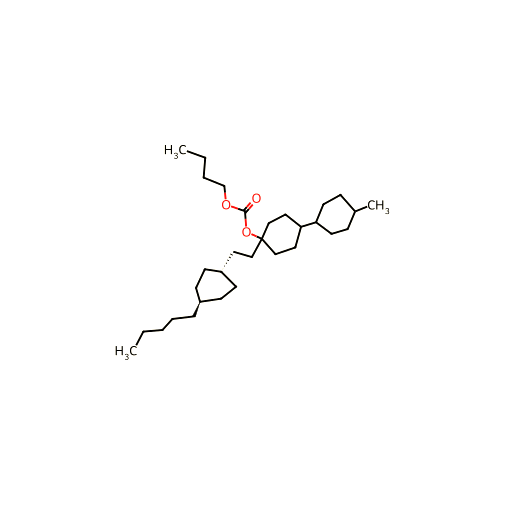 CCCCC[C@H]1CC[C@H](CCC2(OC(=O)OCCCC)CCC(C3CCC(C)CC3)CC2)CC1